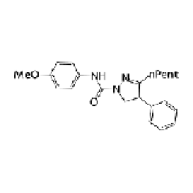 CCCCCC1=NN(C(=O)Nc2ccc(OC)cc2)CC1c1ccccc1